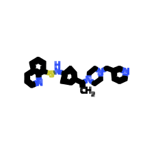 C=C(c1ccc(NSc2cccc3cccnc23)cc1)N1CCN(Cc2cccnc2)CC1